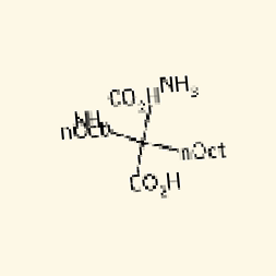 CCCCCCCCC(CCCCCCCC)(C(=O)O)C(=O)O.N.N